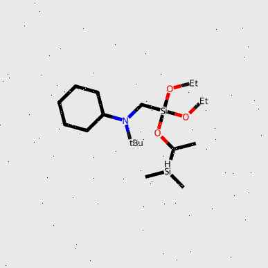 CCO[Si](CN(C1CCCCC1)C(C)(C)C)(OCC)OC(C)[SiH](C)C